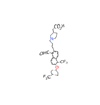 O=Cc1c(CCCN2CCCC(CC(=O)O)C2)ccc2c(C(F)(F)F)c(OC3CCC(C(F)(F)F)CC3)ccc12